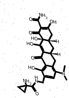 CN(C)c1cc(CNC(=O)C2(N)CC2)c(O)c2c1C[C@H]1C[C@H]3CC(O)=C(C(N)=O)C(=O)[C@@]3(O)C(O)=C1C2=O